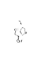 C1CCOC1.C=C.OCCO